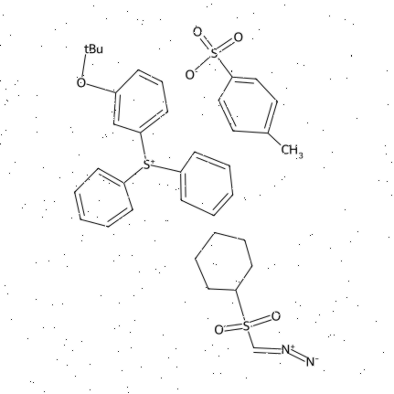 CC(C)(C)Oc1cccc([S+](c2ccccc2)c2ccccc2)c1.Cc1ccc(S(=O)(=O)[O-])cc1.[N-]=[N+]=CS(=O)(=O)C1CCCCC1